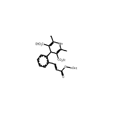 CCCCCCCCOC(=O)C=Cc1ccccc1C1C(C(=O)OCC)=C(C)NC(C)=C1C(=O)OCC